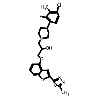 Cc1nnc(-c2cc3c(OCC(O)CN4CCC(c5ccc(Cl)c(C)c5F)CC4)cccc3o2)o1